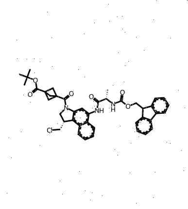 C[C@H](NC(=O)OCC1c2ccccc2-c2ccccc21)C(=O)Nc1cc2c(c3ccccc13)[C@H](CCl)CN2C(=O)C12CC(C(=O)OC(C)(C)C)(C1)C2